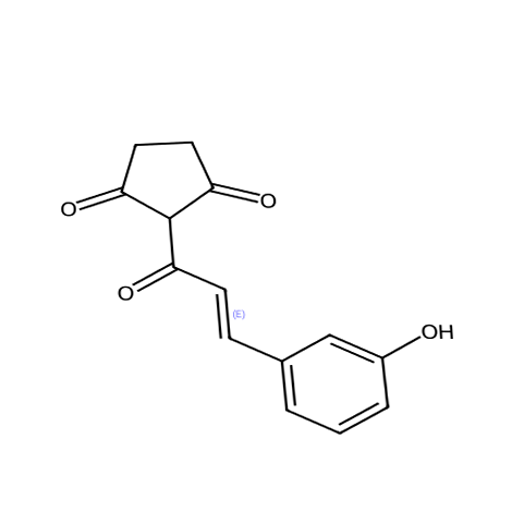 O=C(/C=C/c1cccc(O)c1)C1C(=O)CCC1=O